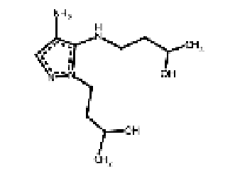 CC(O)CCNc1c(N)cnn1CCC(C)O